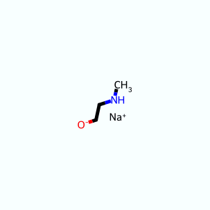 CNCC[O-].[Na+]